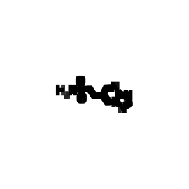 NS(=O)(=O)CCc1cnc2ncnn2c1